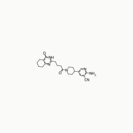 N#Cc1cc(C2CCN(C(=O)CCCc3nc4c(c(=O)[nH]3)CCCC4)CC2)cnc1N